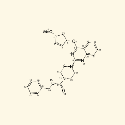 CO[C@H]1C=C[C@@H](Oc2nc(N3CCN(C(=O)OCc4ccccc4)CC3)nc3ccccc23)C1